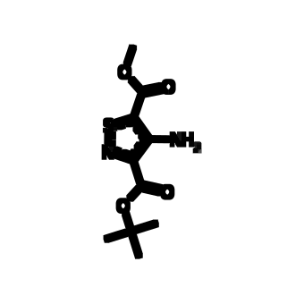 COC(=O)c1snc(C(=O)OC(C)(C)C)c1N